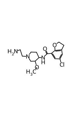 COC1CN(CCN)CCC1NC(=O)c1cc(Cl)cc2c1OCC2